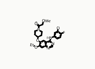 CCOc1cc2ncnc(Nc3ccc(F)c(Cl)c3)c2cc1OC1CCN(C(=O)COC)CC1